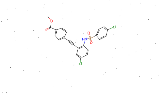 COC(=O)c1ccc(C#Cc2cc(Cl)ccc2NS(=O)(=O)c2ccc(Cl)cc2)cc1